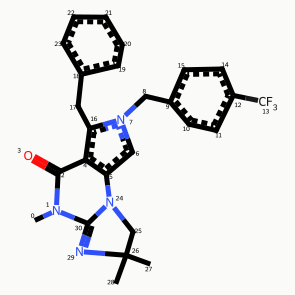 CN1C(=O)c2c(cn(Cc3ccc(C(F)(F)F)cc3)c2Cc2ccccc2)N2CC(C)(C)N=C12